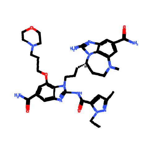 CCn1nc(C)cc1C(=O)Nc1nc2cc(C(N)=O)cc(OCCCN3CCOCC3)c2n1CCC[C@H]1CCN(C)c2cc(C(N)=O)cc3nc(N)n1c23